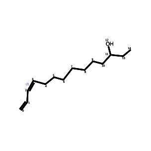 C=C/C=C\CCCCCCCC(O)CC